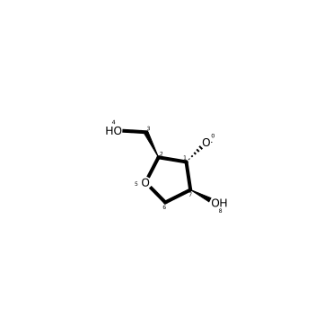 [O][C@H]1[C@H](CO)OC[C@@H]1O